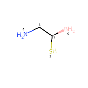 B[C@@H](S)CN